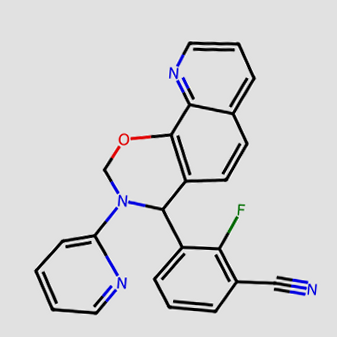 N#Cc1cccc(C2c3ccc4cccnc4c3OCN2c2ccccn2)c1F